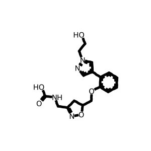 O=C(O)NCC1=NOC(COc2ccccc2-c2cnn(CCO)c2)C1